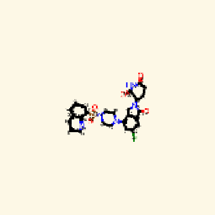 O=C1CCC(N2Cc3c(cc(F)cc3N3CCN(S(=O)(=O)c4cccc5cccnc45)CC3)C2=O)C(=O)N1